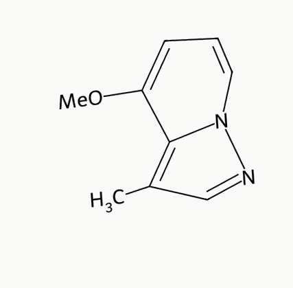 COc1cccn2ncc(C)c12